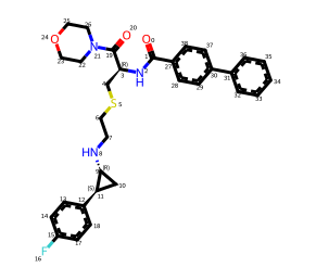 O=C(N[C@@H](CSCCN[C@@H]1C[C@H]1c1ccc(F)cc1)C(=O)N1CCOCC1)c1ccc(-c2ccccc2)cc1